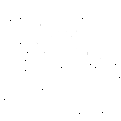 COC(=O)N1CC[C@]12CN(C(=O)Nc1nc3c(s1)NC(OC)C=C3)C1C=CC(S(=O)(=O)N(CCO)Cc3ccccc3)CC12